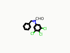 O=[C]N(Cc1ccccc1)c1cc(Cl)c(Cl)c(Cl)c1